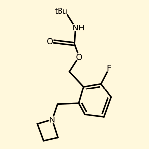 CC(C)(C)NC(=O)OCc1c(F)cccc1CN1CCC1